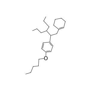 CCCCCOc1ccc(C(CC2=CCCCC2)C(CCC)CCC)cc1